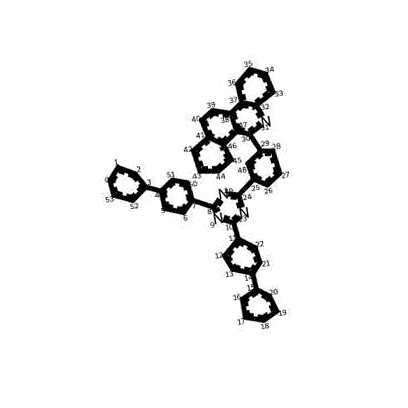 c1ccc(-c2ccc(-c3nc(-c4ccc(-c5ccccc5)cc4)nc(-c4cccc(-c5nc6ccccc6c6ccc7ccccc7c56)c4)n3)cc2)cc1